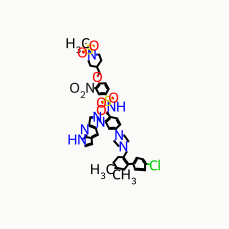 CC1(C)CCC(CN2CCN(c3ccc(C(=O)NS(=O)(=O)c4ccc(OCC5CCN(S(C)(=O)=O)CC5)c([N+](=O)[O-])c4)c(-n4ncc5nc6[nH]ccc6cc54)c3)CC2)=C(c2ccc(Cl)cc2)C1